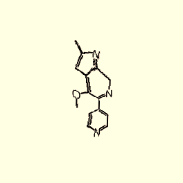 COC1=C2C=C(C)N=C2CN=C1c1ccncc1